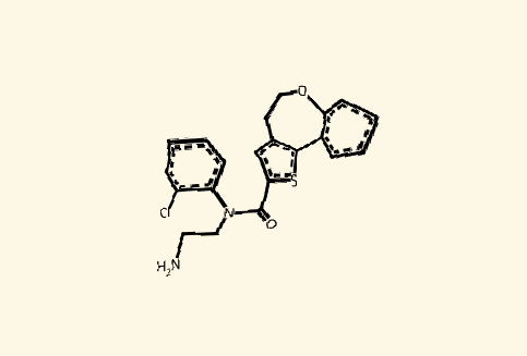 NCCN(C(=O)c1cc2c(s1)-c1ccccc1OCC2)c1ccccc1Cl